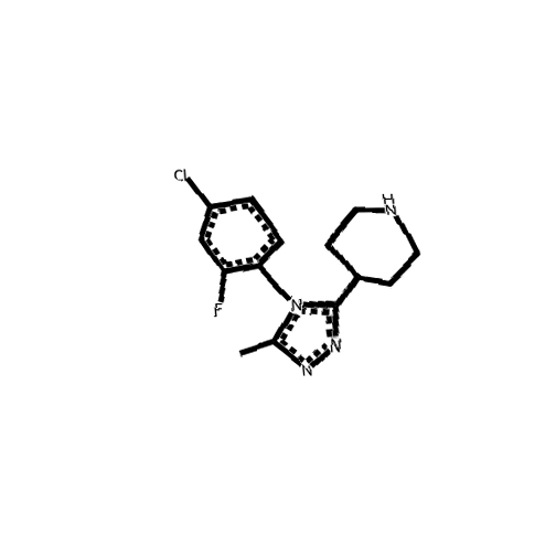 Cc1nnc(C2CCNCC2)n1-c1ccc(Cl)cc1F